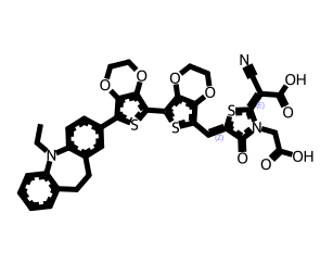 CCN1c2ccccc2CCc2cc(-c3sc(-c4sc(/C=c5\s/c(=C(\C#N)C(=O)O)n(CC(=O)O)c5=O)c5c4OCCO5)c4c3OCCO4)ccc21